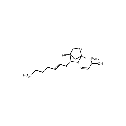 CCCCCC(O)/C=C\[C@@H]1[C@@H](C/C=C/CCCC(=O)O)[C@@H]2CO[C@@H]1C2